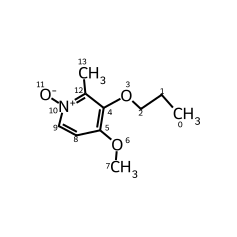 CCCOc1c(OC)cc[n+]([O-])c1C